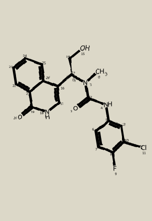 CN(C(=O)Nc1ccc(F)c(Cl)c1)[C@H](CO)c1c[nH]c(=O)c2ccccc12